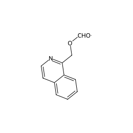 O=[C]OCc1nccc2ccccc12